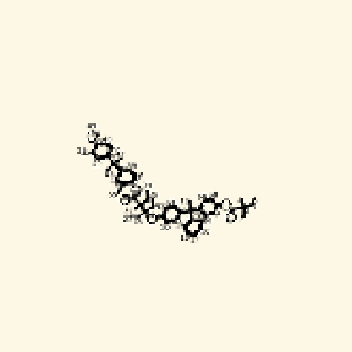 CCC(C)(C)C(=O)Oc1ccc(C(C)(c2ccccc2)c2ccc(OC(CC)(CC)C(C)(CC)C(=O)Oc3ccc(C(C)(C)c4ccc(OC)c(C)c4)cc3C)cc2)cc1